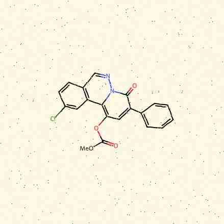 COC(=O)Oc1cc(-c2ccccc2)c(=O)n2ncc3ccc(Cl)cc3c12